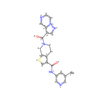 CC(C)(C)c1cncc(NC(=O)c2csc3c2CCN(C(=O)c2cnn4ccncc24)C3)c1